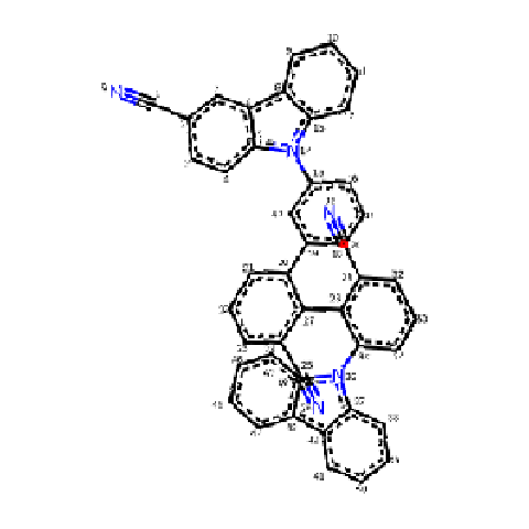 N#Cc1ccc2c(c1)c1ccccc1n2-c1cccc(-c2cccc(C#N)c2-c2c(C#N)cccc2-n2c3ccccc3c3ccccc32)c1